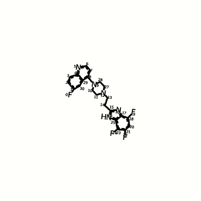 Fc1ccc2nccc(N3CCN(CCc4nc5c(F)cc(F)c(F)c5[nH]4)CC3)c2c1